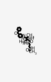 CC(=O)NCCNC(=O)c1[nH]c(C)c(-c2nc3cc(C(=O)c4ccccc4)ccc3[nH]2)c1C